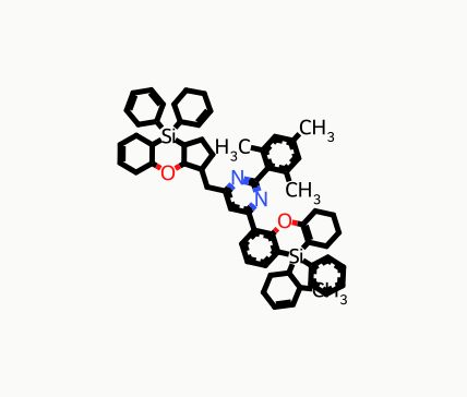 Cc1cc(C)c(-c2nc(CC3CCC4C3OC3CC=CCC3[Si]4(C3C=CC=CC3)C3C=CCCC3)cc(-c3cccc4c3OC3=C(CCCC3)[Si]4(c3ccccc3)C3CCC=CC3C)n2)c(C)c1